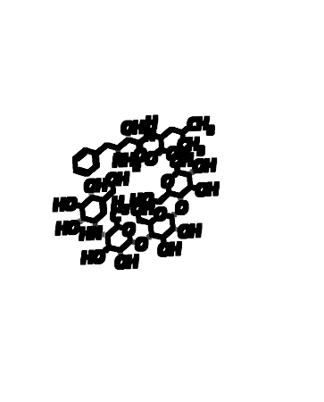 CC(C)CC(NC(=O)[C@@H](O)[C@H](N)Cc1ccccc1)C(=O)O.C[C@H]1O[C@H](O[C@H]2[C@H](O)[C@@H](O)[C@@H](O[C@H]3[C@H](O)[C@@H](O)[C@H](O)O[C@@H]3CO)O[C@@H]2CO)[C@H](O)[C@@H](O)[C@@H]1N[C@H]1C=C(CO)[C@@H](O)[C@H](O)[C@H]1O